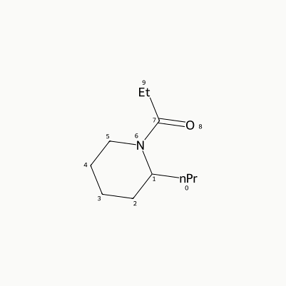 CCCC1CCCCN1C(=O)CC